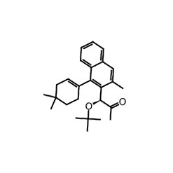 CC(=O)[C@@H](OC(C)(C)C)c1c(C)cc2ccccc2c1C1=CCC(C)(C)CC1